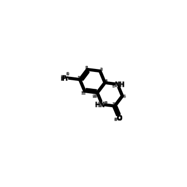 CC(C)C1=CCC2NCC(=O)NC2=C1